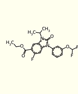 CCOC(=O)c1cc2c(cc1F)n(-c1cccc(OC(F)F)c1)c(=O)n2C(C)C